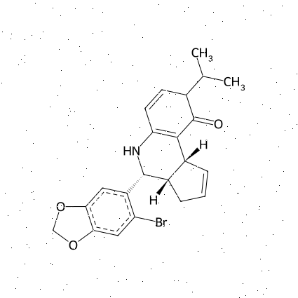 CC(C)C1C=CC2=C(C1=O)[C@@H]1C=CC[C@@H]1[C@H](c1cc3c(cc1Br)OCO3)N2